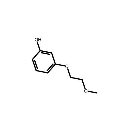 COCCOc1cccc(O)c1